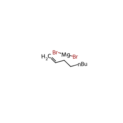 [Br][Mg][Br].[CH2]CCCCCC=C